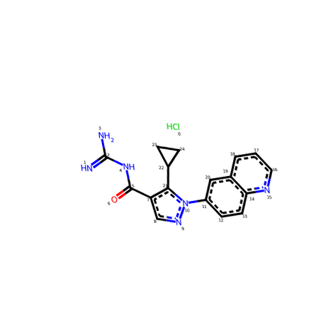 Cl.N=C(N)NC(=O)c1cnn(-c2ccc3ncccc3c2)c1C1CC1